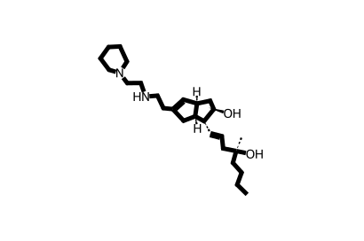 CCCC[C@](C)(O)C/C=C/[C@@H]1[C@H]2CC(CCNCCN3CCCCC3)=C[C@H]2C[C@H]1O